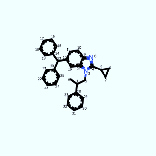 CC(Cn1c(C2CC2)nc2ccc(C(c3ccccc3)c3ccccc3)cc21)c1ccccc1